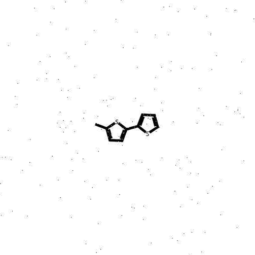 Cc1ccc(-c2cc[c]s2)s1